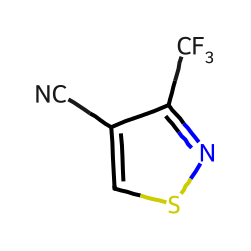 N#Cc1csnc1C(F)(F)F